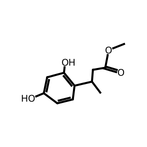 COC(=O)CC(C)c1ccc(O)cc1O